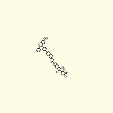 O=C1CC[C@@H](N2C(=O)c3cc4c(cc3C2=O)CN(C(=O)CN2CCC3(CC2)CCN(c2ccc([C@@H]5c6ccc(O)cc6CC[C@@H]5c5ccccc5)cc2)CC3)C4)C(=O)N1